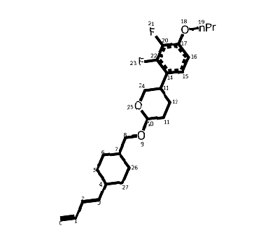 C=CCCC1CCC(COC2CCC(c3ccc(OCCC)c(F)c3F)CO2)CC1